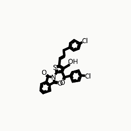 O=C(c1ccc(Cl)cc1)c1c(N2C(=O)c3ccccc3C2=O)sc(/C=C/Cc2ccc(Cl)cc2)c1CO